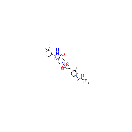 Cc1cc(N(C)C(=O)C(F)(F)F)cc(C)c1CCS(=O)(=O)N1CCC2(CC1)N=C(C1CC(C)(C)CC(C)(C)C1)NC2=O